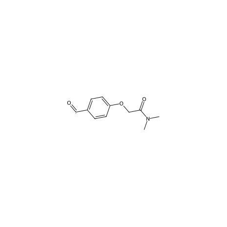 CN(C)C(=O)COc1ccc([C]=O)cc1